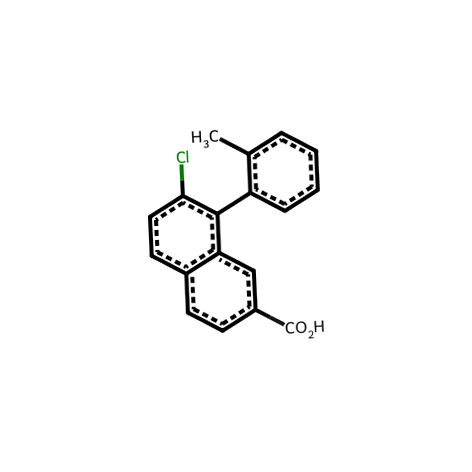 Cc1ccccc1-c1c(Cl)ccc2ccc(C(=O)O)cc12